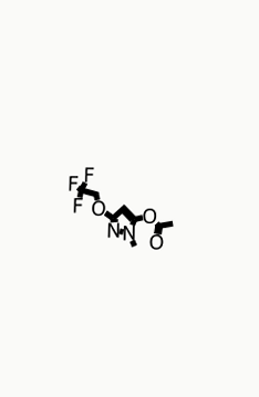 CC(=O)Oc1cc(OCC(F)(F)F)nn1C